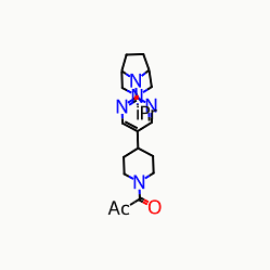 CC(=O)C(=O)N1CCC(c2cnc(N3C4CCC3CN(C(C)C)C4)nc2)CC1